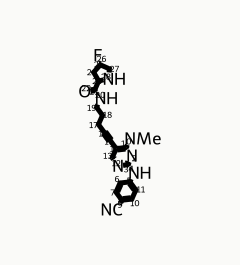 CNc1nc(Nc2ccc(C#N)cc2)ncc1C#CCCCNC(=O)C1C[C@H](F)CN1